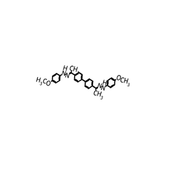 COc1ccc(N/N=C(\C)c2ccc(-c3ccc(/C(C)=N/Nc4ccc(OC)cc4)cc3)cc2)cc1